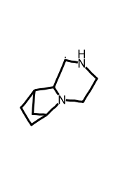 [CH]1NCCN2C3CCC(C3)C12